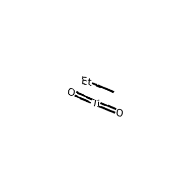 CCC.[O]=[Ti]=[O]